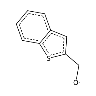 [O]Cc1cc2ccccc2s1